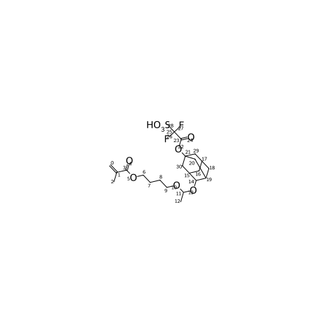 C=C(C)C(=O)OCCCCOC(C)OC1C2CC3CC1CC(OC(=O)C(F)(F)S(=O)(=O)O)(C3)C2